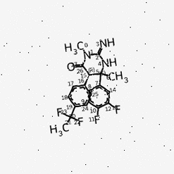 CN1C(=N)N[C@](C)(c2ccc(F)c(F)c2)[C@@H](c2ccc(C(C)(F)F)cc2)C1=O